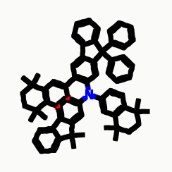 CC1(C)CCC(C)(C)c2cc(-c3cc4c(cc3N(c3ccc5c(c3)C(C)(C)CCC5(C)C)c3ccc5c(c3)C(C)(C)c3ccccc3-5)C(c3ccccc3)(c3ccccc3)c3ccccc3-4)ccc21